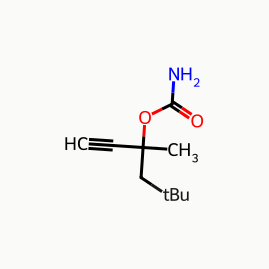 C#CC(C)(CC(C)(C)C)OC(N)=O